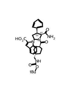 CC(C)(C)OC(=O)NC[C@H]1CC[C@H](C(=O)N2C(n3c(C(=O)O)cc4ccccc43)C[C@@H](c3ccccc3)[C@H]2C(N)=O)CC1